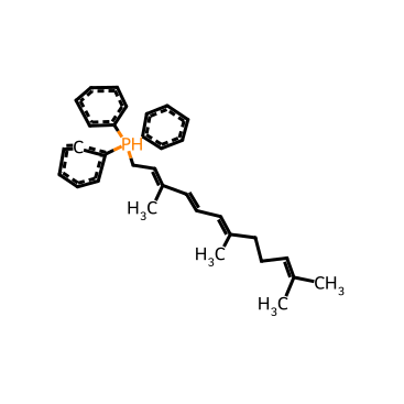 CC(C)=CCC/C(C)=C/C=C/C(C)=C/C[PH](c1ccccc1)(c1ccccc1)c1ccccc1